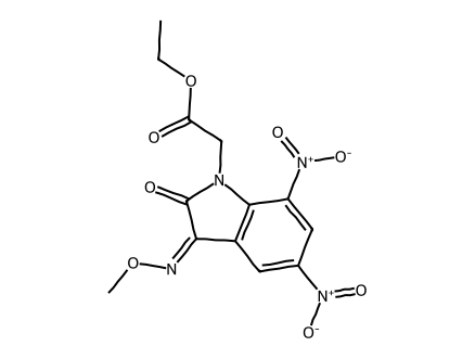 CCOC(=O)CN1C(=O)C(=NOC)c2cc([N+](=O)[O-])cc([N+](=O)[O-])c21